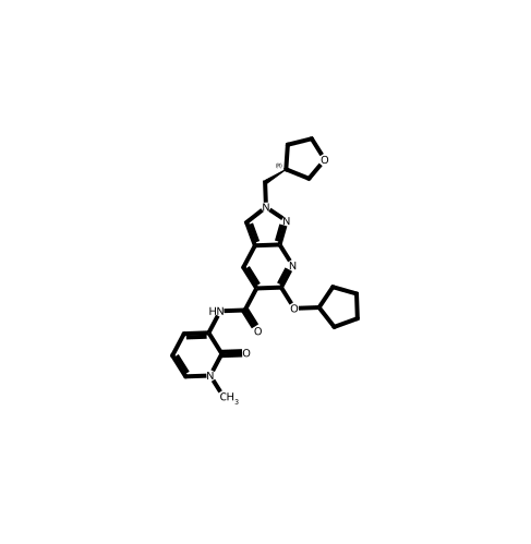 Cn1cccc(NC(=O)c2cc3cn(C[C@H]4CCOC4)nc3nc2OC2CCCC2)c1=O